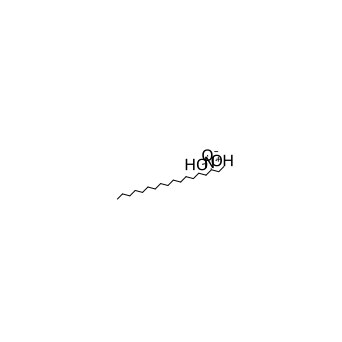 CCCCCCCCCCCCCCCC(CC)[N+]([O-])(O)O